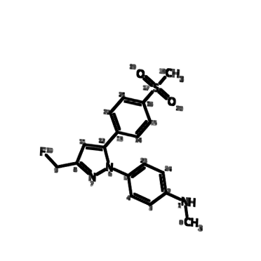 CNc1ccc(-n2nc(CF)cc2-c2ccc(S(C)(=O)=O)cc2)cc1